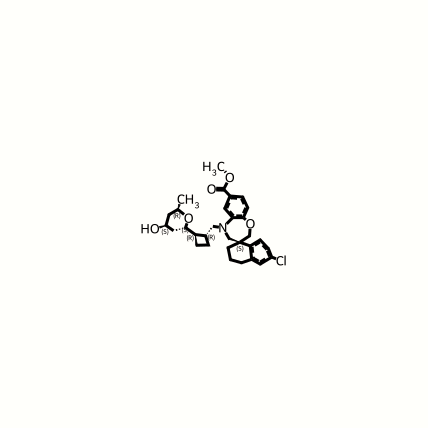 COC(=O)c1ccc2c(c1)N(C[C@@H]1CC[C@H]1[C@@H]1C[C@@H](O)C[C@@H](C)O1)C[C@@]1(CCCc3cc(Cl)ccc31)CO2